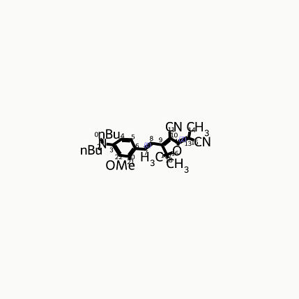 CCCCN(CCCC)c1ccc(/C=C/C2=C(C#N)C(=C(\C)C#N)/OC2(C)C)c(OC)c1